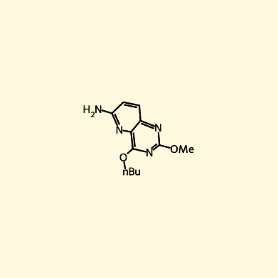 CCCCOc1nc(OC)nc2ccc(N)nc12